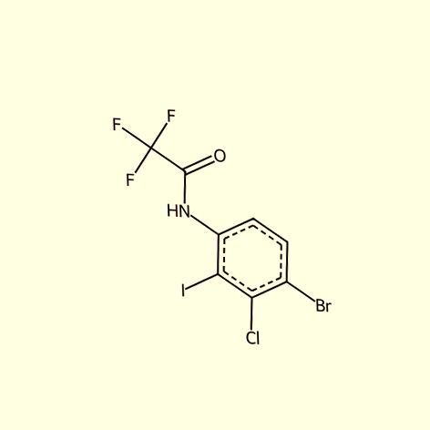 O=C(Nc1ccc(Br)c(Cl)c1I)C(F)(F)F